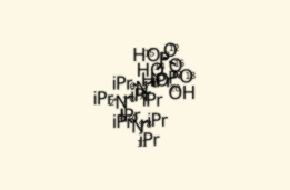 CC(C)N(C(C)C)C(C)C.CC(C)N(C(C)C)C(C)C.CC(C)N(C(C)C)C(C)C.O=P(O)(O)OP(=O)(O)O